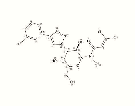 CN(C(=O)C=C(Cl)Cl)[C@@H]1O[C@H](CO)[C@H](O)[C@H](n2cc(-c3cccc(F)c3)nn2)[C@H]1O